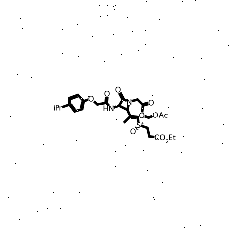 CCOC(=O)CC[S+]([O-])C=C(C)C1C(NC(=O)COc2ccc(C(C)C)cc2)C(=O)N1CC(=O)OCOC(C)=O